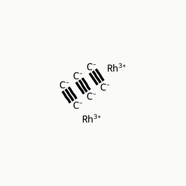 [C-]#[C-].[C-]#[C-].[C-]#[C-].[Rh+3].[Rh+3]